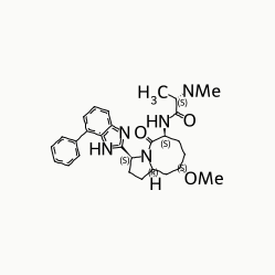 CN[C@@H](C)C(=O)N[C@H]1CC[C@H](OC)C[C@H]2CC[C@@H](c3nc4cccc(-c5ccccc5)c4[nH]3)N2C1=O